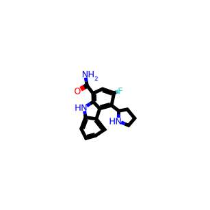 NC(=O)c1cc(F)c(C2CCCN2)c2c1[nH]c1ccccc12